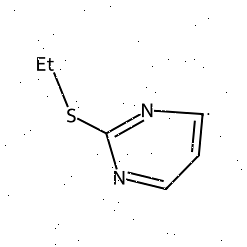 CCSc1n[c]ccn1